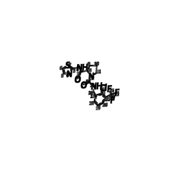 O=C(Nc1nccs1)[C@H]1CCCN1C(=O)NCc1cccc(C(F)(F)F)c1Cl